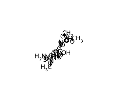 CCON=C(C(=O)N[C@@H]1C(=O)N2C(OC(=O)O)=C(CSc3nnc(-c4ccc(OC(C)=O)c(OC(C)=O)c4)o3)CS[C@@H]12)c1csc(N)n1